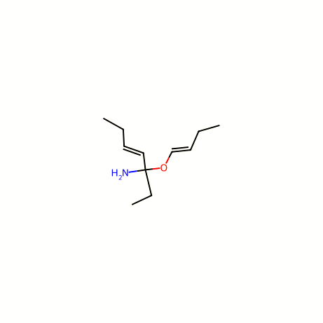 CC/C=C/OC(N)(/C=C/CC)CC